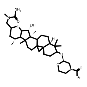 CC(C)C(=O)N1CCO[C@@H](OC2CCC34CC35CCC3(C)C6C(OC(CN(C)C(N)=O)C[C@H]6C)[C@H](O)[C@@]3(C)C5CC[C@H]4C2(C)C)C1